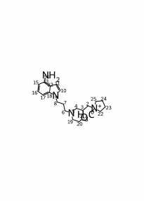 C[N+]1(CC2CN(CCCn3ccc4c(N)cccc43)CCO2)CCCC1